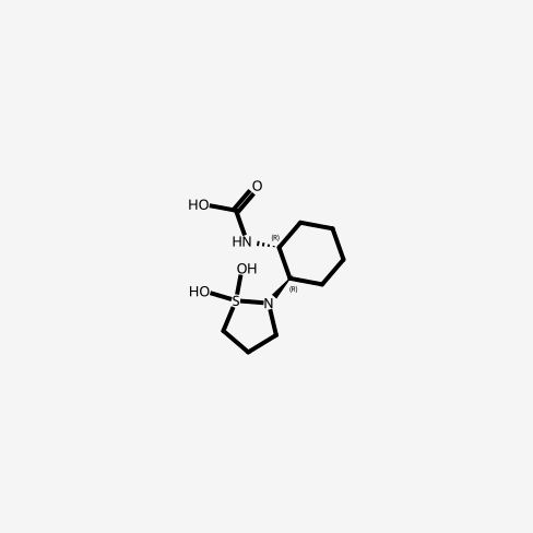 O=C(O)N[C@@H]1CCCC[C@H]1N1CCCS1(O)O